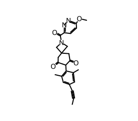 CC#Cc1cc(C)c(C2C(=O)CC3(CC2=O)CN(C(=O)c2ccc(OC)nn2)C3)c(C)c1